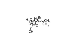 C#CCCn1c(=O)c2c(nc(Br)n2CC=C(C)C)n(C)c1=O